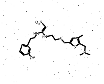 Cc1cc(CSCCN/C(=C/[N+](=O)[O-])NCCc2cccc(O)c2)sc1CN(C)C